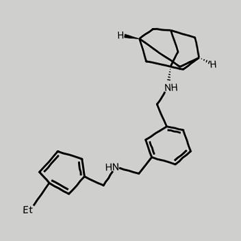 CCc1cccc(CNCc2cccc(CN[C@]34CC5C[C@H](C[C@@H](C5)C3)C4)c2)c1